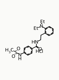 CCN(CC)c1ccccc1CCNC(=O)c1ccc(NS(C)(=O)=O)cc1.Cl